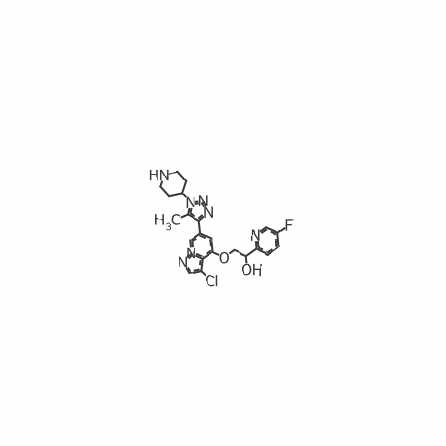 Cc1c(-c2cc(OCC(O)c3ccc(F)cn3)c3c(Cl)cnn3c2)nnn1C1CCNCC1